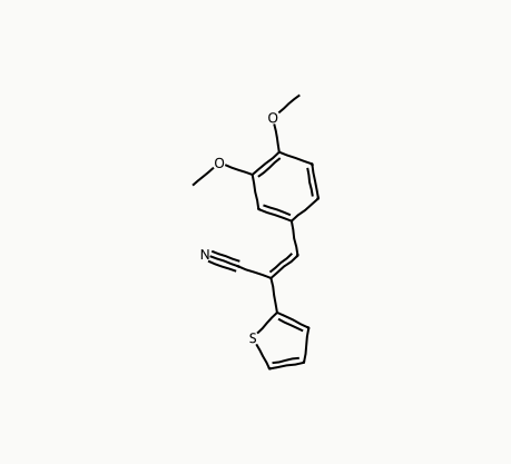 COc1ccc(/C=C(\C#N)c2cccs2)cc1OC